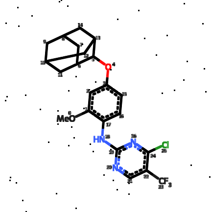 COc1cc(OC2C3CC4CC(C3)CC2C4)ccc1Nc1ncc(C(F)(F)F)c(Cl)n1